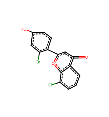 O=c1cc(-c2ccc(O)cc2Br)oc2c(Cl)cccc12